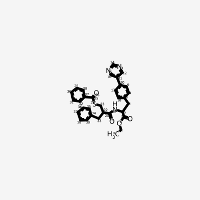 CCOC(=O)C(Cc1ccc(-c2cncnc2)cc1)NC(=O)C(CSC(=O)c1ccccc1)Cc1ccccc1